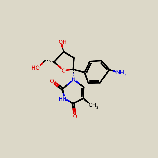 Cc1cn([C@@]2(c3ccc(N)cc3)C[C@H](O)[C@@H](CO)O2)c(=O)[nH]c1=O